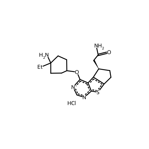 CCC1(N)CCC(Oc2ncnc3sc4c(c23)[C@@H](CC(N)=O)CC4)CC1.Cl